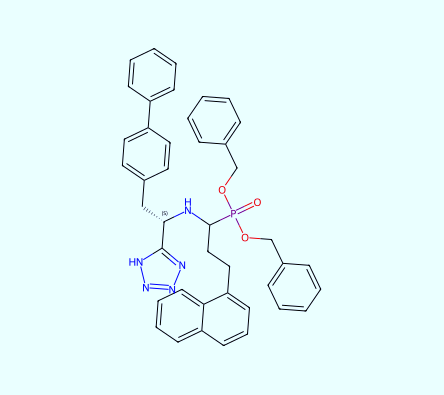 O=P(OCc1ccccc1)(OCc1ccccc1)C(CCc1cccc2ccccc12)N[C@@H](Cc1ccc(-c2ccccc2)cc1)c1nnn[nH]1